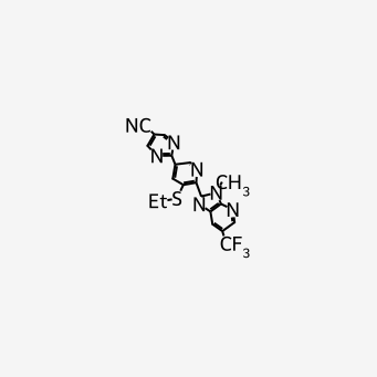 CCSc1cc(-c2ncc(C#N)cn2)cnc1-c1nc2cc(C(F)(F)F)cnc2n1C